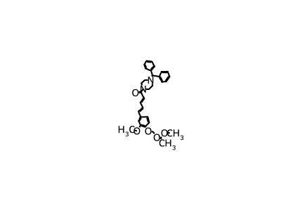 COc1cc(/C=C/C=C/C(=O)N2CCN(C(c3ccccc3)c3ccccc3)CC2)ccc1OCOC(C)OC